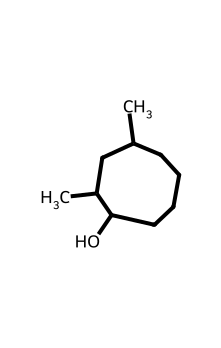 CC1CCCCC(O)C(C)C1